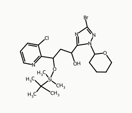 CC(C)(C)[Si](C)(C)OC(CC(O)c1nc(Br)nn1C1CCCCO1)c1ncccc1Cl